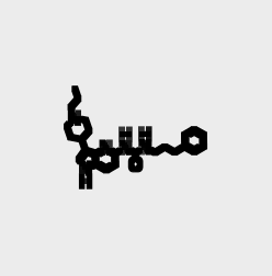 CCCN1CCC(c2c[nH]c3ccc(NC(=O)NCCCc4ccccc4)nc23)CC1